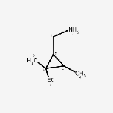 CCC1(C)C(C)C1CN